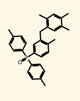 Cc1ccc(P(=O)(c2ccc(C)cc2)c2ccc(C)c(Cc3cc(C)c(C)cc3C)c2)cc1